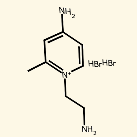 Br.Br.Cc1cc(N)cc[n+]1CCN